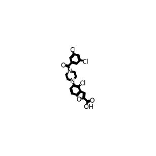 O=C(O)c1cc2c(Cl)c(N3CCN(C(=O)c4cc(Cl)cc(Cl)c4)CC3)ccc2o1